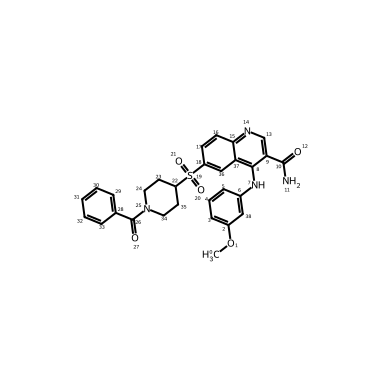 COc1cccc(Nc2c(C(N)=O)cnc3ccc(S(=O)(=O)C4CCN(C(=O)c5ccccc5)CC4)cc23)c1